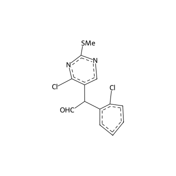 CSc1ncc(C(C=O)c2ccccc2Cl)c(Cl)n1